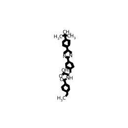 CCc1ccc(C(=O)N[C@@H](Cc2ccc(-c3ncc(-c4ccc(C(C)(C)C)cc4)cn3)cc2)C(=O)O)cc1